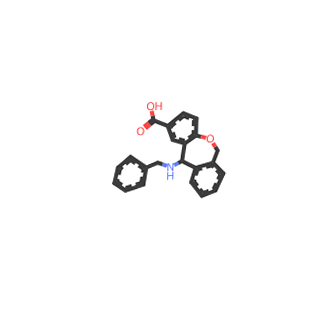 O=C(O)c1ccc2c(c1)C(NCc1ccccc1)c1ccccc1CO2